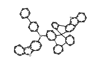 c1ccc(-c2ccc(N(c3ccc4c(c3)-c3ccccc3-c3ccccc3C43c4ccccc4-c4c3ccc3c4sc4ccccc43)c3ccc4oc5ccccc5c4c3)cc2)cc1